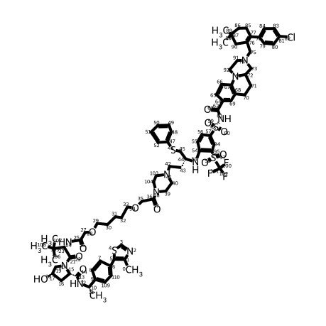 Cc1ncsc1-c1ccc([C@H](C)NC(=O)[C@@H]2C[C@@H](O)CN2C(=O)[C@@H](NC(=O)COCCCCCOCC(=O)N2CCN(CC[C@H](CSc3ccccc3)Nc3ccc(S(=O)(=O)NC(=O)c4ccc5c(c4)CCC4CN(CC6=C(c7ccc(Cl)cc7)CCC(C)(C)C6)CCN54)cc3S(=O)(=O)C(F)(F)F)CC2)C(C)(C)C)cc1